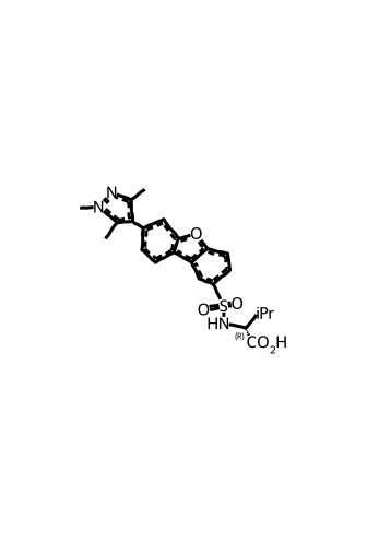 Cc1nn(C)c(C)c1-c1ccc2c(c1)oc1ccc(S(=O)(=O)N[C@@H](C(=O)O)C(C)C)cc12